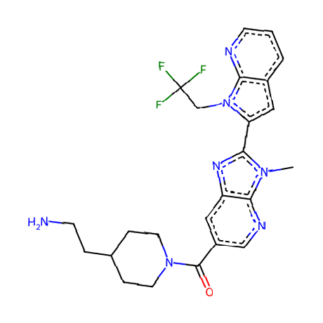 Cn1c(-c2cc3cccnc3n2CC(F)(F)F)nc2cc(C(=O)N3CCC(CCN)CC3)cnc21